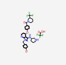 COc1ccc(Cn2nc(N[C@@H]3CCCNC3)c3c(Oc4ccc(C(=O)N5CCCC(C(F)(F)F)C5)cc4)ccnc32)cc1.O=C(O)C(F)(F)F